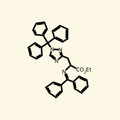 CCOC(=O)C(Cc1ncn(C(c2ccccc2)(c2ccccc2)c2ccccc2)n1)N=C(c1ccccc1)c1ccccc1